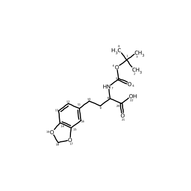 CC(C)(C)OC(=O)NC(CCc1ccc2c(c1)OCO2)C(=O)O